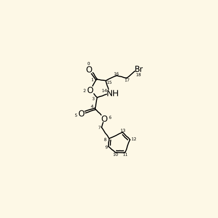 O=C1OC(C(=O)OCc2ccccc2)NC1CCBr